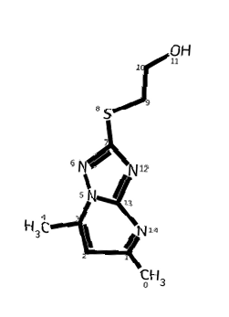 Cc1cc(C)n2nc(SCCO)nc2n1